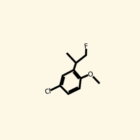 COc1ccc(Cl)cc1[C](C)CF